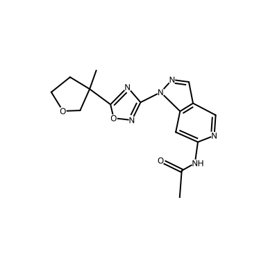 CC(=O)Nc1cc2c(cn1)cnn2-c1noc(C2(C)CCOC2)n1